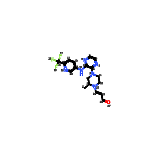 C[C@H]1CN(c2nccnc2Nc2ccc(C(F)(F)F)nc2)CCN1C=CC=O